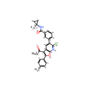 CNC(=O)c1c(-c2ccc(C)cc2)oc2nc(Cl)c(-c3cccc(C(=O)NC4(C(F)(F)F)CC4)c3)cc12